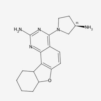 Nc1nc(N2CC[C@@H](N)C2)c2ccc3c(c2n1)C1CCCCC1O3